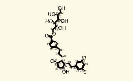 O=C(OC[C@@H](O)[C@@H](O)[C@H](O)[C@@H](O)CO)c1ccc(CCC[C@@H]2[C@@H](CCc3cc(Cl)cc(Cl)c3)[C@H](O)C[C@H]2Cl)s1